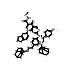 CONC(=O)c1cn(-c2ccc3c(c2)CCC3)c2nc(Nc3ccc(CCNC4C5CC6CC(C5)CC4C6)cc3)ncc2c1=O.Nc1ccc(CCNC2C3CC4CC(C3)CC2C4)cc1